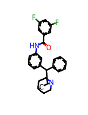 O=C(Nc1cccc(C(c2ccccc2)C2CC3CCN2CC3)c1)c1cc(F)cc(F)c1